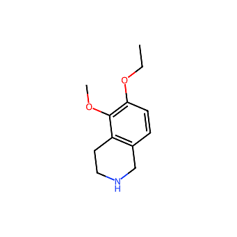 CCOc1ccc2c(c1OC)CCNC2